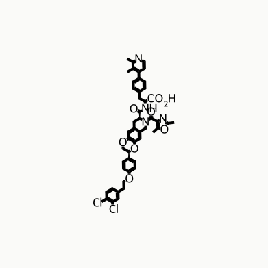 Cc1nc(C(=O)N2Cc3cc4c(cc3C[C@H]2C(=O)NC(Cc2ccc(-c3ccnc(C)c3C)cc2)C(=O)O)OC[C@H](c2ccc(OCCc3ccc(Cl)c(Cl)c3)cc2)O4)c(C)o1